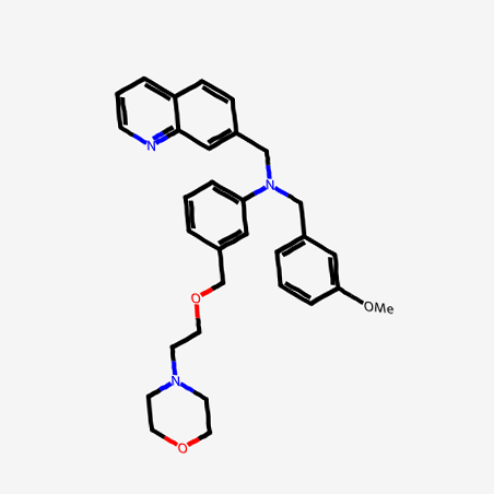 COc1cccc(CN(Cc2ccc3cccnc3c2)c2cccc(COCCN3CCOCC3)c2)c1